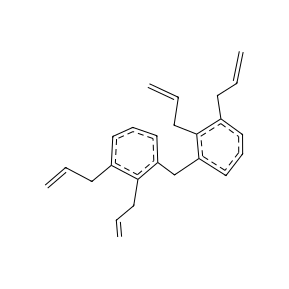 C=CCc1cccc(Cc2cccc(CC=C)c2CC=C)c1CC=C